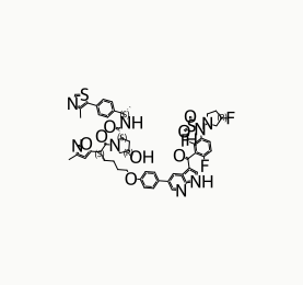 Cc1cc([C@H](CCCCOc2ccc(-c3cnc4[nH]cc(C(=O)c5c(F)ccc(N(N6CC[C@@H](F)C6)[SH](=O)=O)c5F)c4c3)cc2)C(=O)N2C[C@H](O)C[C@H]2C(=O)N[C@@H](C)c2ccc(-c3scnc3C)cc2)on1